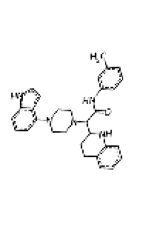 Cc1cccc(NC(=O)C(C2CCc3ccccc3N2)N2CCN(c3cccc4[nH]ccc34)CC2)c1